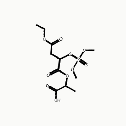 CCOC(=O)CC(SP(=S)(OC)OC)C(=O)OC(C)C(=O)O